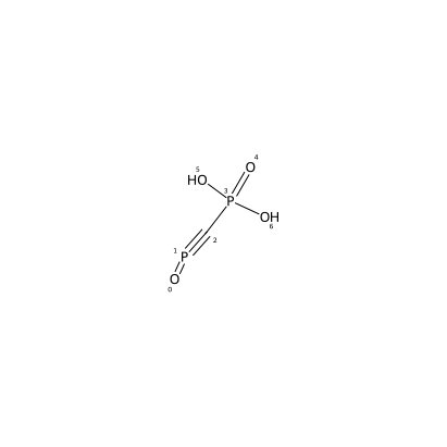 O=P#CP(=O)(O)O